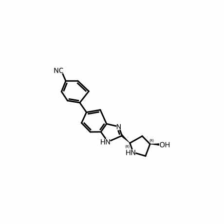 N#Cc1ccc(-c2ccc3[nH]c([C@H]4C[C@@H](O)CN4)nc3c2)cc1